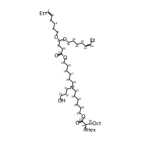 CC/C=C\CCCCOC(CCC(=O)OCCCCCCN(CCCO)CCCCCCOC(=O)C(CCCCCC)CCCCCCCC)OCCCC/C=C\CC